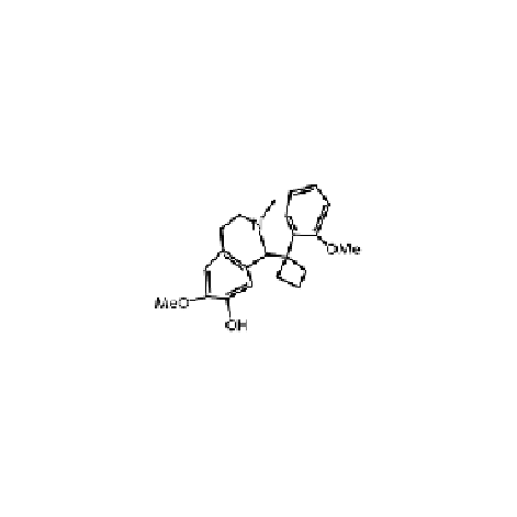 COc1cc2c(cc1O)C(C1(c3ccccc3OC)CCC1)N(C)CC2